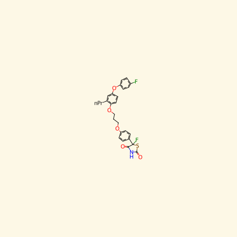 CCCc1cc(Oc2ccc(F)cc2)ccc1OCCCOc1ccc(C2(F)SC(=O)NC2=O)cc1